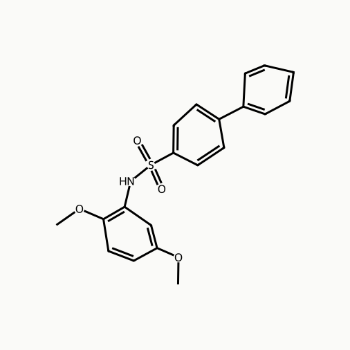 COc1ccc(OC)c(NS(=O)(=O)c2ccc(-c3ccccc3)cc2)c1